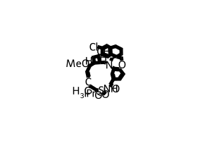 CO[C@H]1/C=C/C[C@H](C)[C@@H](C(C)C)S(=O)(=O)NC(=O)c2ccc3c(c2)N(C[C@H]2[C@H]1C[C@H]2C)C[C@@]1(CCCc2cc(Cl)ccc21)CO3